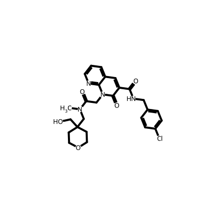 CN(CC1(CO)CCOCC1)C(=O)Cn1c(=O)c(C(=O)NCc2ccc(Cl)cc2)cc2cccnc21